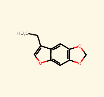 O=C(O)Cc1coc2cc3c(cc12)OCO3